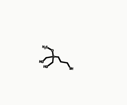 CO[Si](CO)(CO)CCCS